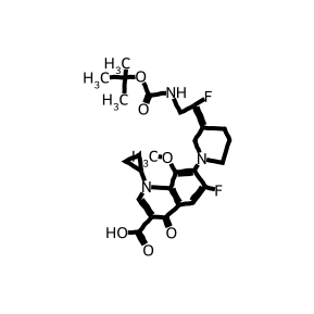 COc1c(N2CCC/C(=C(\F)CNC(=O)OC(C)(C)C)C2)c(F)cc2c(=O)c(C(=O)O)cn(C3CC3)c12